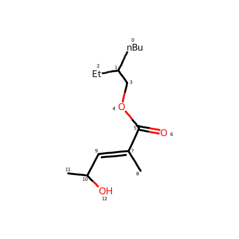 CCCCC(CC)COC(=O)C(C)=CC(C)O